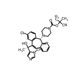 Cn1cncc1[C@@](C)(O)C1=Cc2cccnc2[C@@H](N2CCN(C(=O)OC(C)(C)C#N)CC2)c2ccc(Cl)cc21